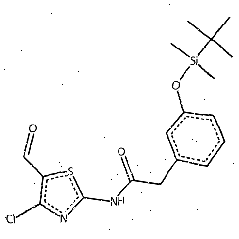 CC(C)(C)[Si](C)(C)Oc1cccc(CC(=O)Nc2nc(Cl)c(C=O)s2)c1